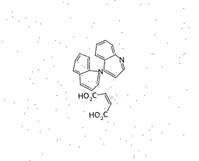 O=C(O)/C=C\C(=O)O.c1ccc2ncccc2c1.c1ccc2ncccc2c1